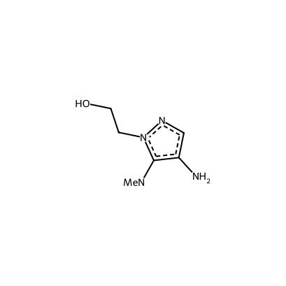 CNc1c(N)cnn1CCO